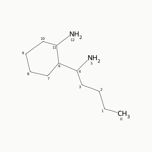 CCCCC(N)C1CCCCC1N